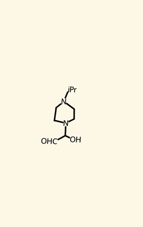 CC(C)N1CCN(C(O)C=O)CC1